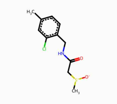 Cc1ccc(CNC(=O)C[S+](C)[O-])c(Cl)c1